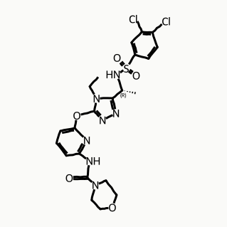 CCn1c(Oc2cccc(NC(=O)N3CCOCC3)n2)nnc1[C@@H](C)NS(=O)(=O)c1ccc(Cl)c(Cl)c1